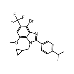 COc1cc(C(F)(F)F)c(Br)c2nc(-c3ccc(C(C)C)cc3)n(CC3CC3)c12